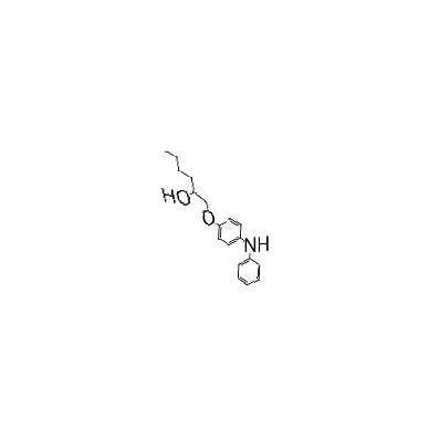 CCCCC(O)COc1ccc(Nc2ccccc2)cc1